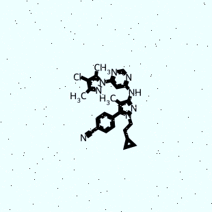 Cc1nn(-c2cc(Nc3nn(CCC4CC4)c(-c4ccc(C#N)cc4)c3C)ncn2)c(C)c1Cl